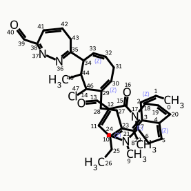 C\C=C/C(C1=C\CC2N(C)CC=C(C=O)C(=O)N2CC=C\1)=C(C)\C(=C/CC)CC/C1=C/C/C=C\C(C2=NN=C(C=O)C=CC2)C(C)C1Cl